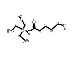 CC(C)C[Si](CC(C)C)(CC(C)C)OC(=O)CCCCCl